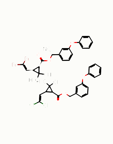 CC1(C)C(C=C(Cl)Cl)C1C(=O)OCc1cccc(Oc2ccccc2)c1.CC1(C)[C@H](C(=O)O[C@H](C#N)c2cccc(Oc3ccccc3)c2)[C@@H]1C=C(Br)Br